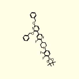 CC1(C)OB(c2ccc(N3CCC(c4ncc(-c5ccc(OCc6ccccc6)nc5OCc5ccccc5)cc4F)CC3)c(F)c2F)OC1(C)C